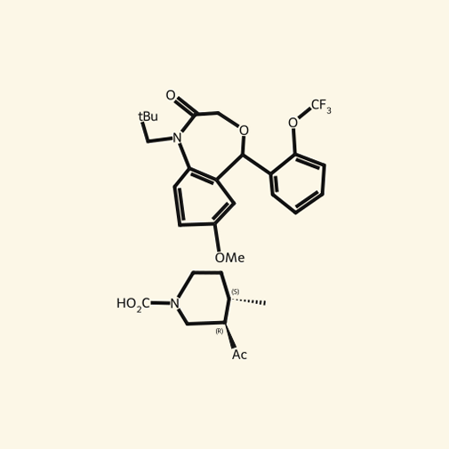 CC(=O)[C@H]1CN(C(=O)O)CC[C@@H]1C.COc1ccc2c(c1)C(c1ccccc1OC(F)(F)F)OCC(=O)N2CC(C)(C)C